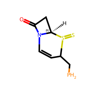 O=C1C[C@@H]2N1C=CC(CP)S2=S